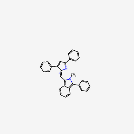 Cn1c(/C=C2\N=C(c3ccccc3)C=C2c2ccccc2)c2ccccc2c1-c1ccccc1